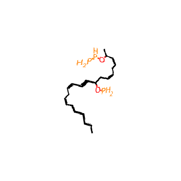 CCCCCC/C=C\C/C=C\C=C\C(C/C=C\C/C=C\C(C)OPP)OP